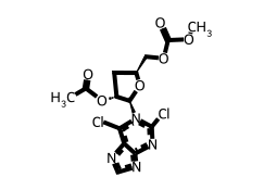 COC(=O)OC[C@@H]1C[C@@H](OC(C)=O)[C@H](n2c(Cl)nc3ncnc-3c2Cl)O1